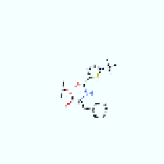 CC(C)(C)OC(=O)[C@H](Cc1ccccc1)NC(=O)c1ccc(C(C)(C)C)s1